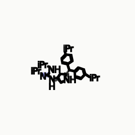 CC(C)/N=C(\NC(C)C)N[C@H]1CN[C@@H](C(c2ccc(C(C)C)cc2)c2ccc(C(C)C)cc2)C1